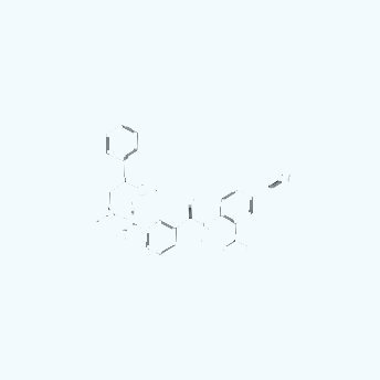 CN(CC(O)c1ccccc1)S(=O)(=O)c1cccc(C(=O)Nc2ccc(C#N)cc2C(=O)O)c1